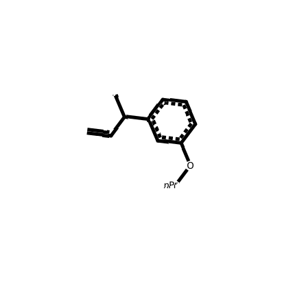 [CH2]C(C=C)c1cccc(OCCC)c1